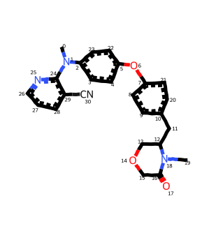 CN(c1ccc(Oc2ccc(CC3COCC(=O)N3C)cc2)cc1)c1ncccc1C#N